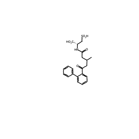 CC(CC(=O)N[C@@H](CS(=O)(=O)O)C(=O)O)CC(=O)c1ccccc1-c1ccccc1